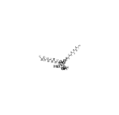 CCCCCCCCCCCCOOC(OCCCCCCCCCCCC)C(CO)(CO)CO